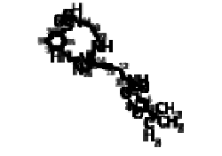 CC(C)(C)c1cc(S(=O)(=O)NCCC#Cc2cnc3nc2NCCCNS(=O)(=O)c2cccc(c2)N3)no1